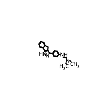 CCN(CC)CCNc1ccc(-c2n[nH]c3c2Cc2ccccc2-3)cc1